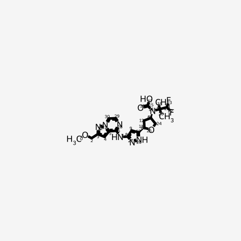 COCc1cc2c(Nc3cc([C@H]4C[C@@H](N(C(=O)O)C(C)(C)C(F)F)CO4)[nH]n3)nccn2n1